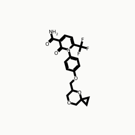 NC(=O)c1ccc(C(F)(F)F)n(-c2ccc(OCC3COCC4(CC4)O3)cc2)c1=O